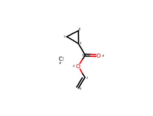 C=COC(=O)C1CC1.[C]